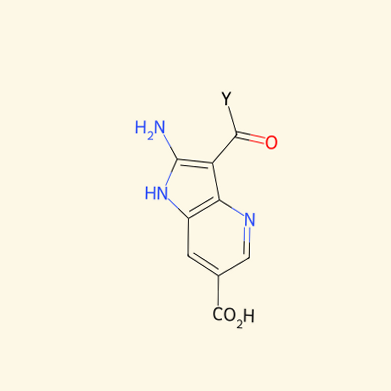 Nc1[nH]c2cc(C(=O)O)cnc2c1[C](=O)[Y]